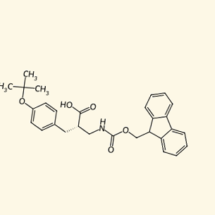 CC(C)(C)Oc1ccc(C[C@@H](CNC(=O)OCC2c3ccccc3-c3ccccc32)C(=O)O)cc1